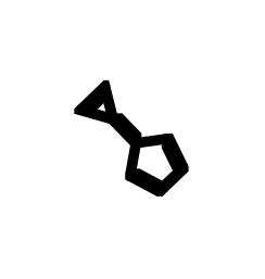 C1=CC(=C2C=C2)C=C1